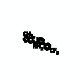 CN1CCC(C[C@@H](F)[C@@H](N)c2cc(-c3ccc(C(F)(F)F)cc3)ccn2)C1=O